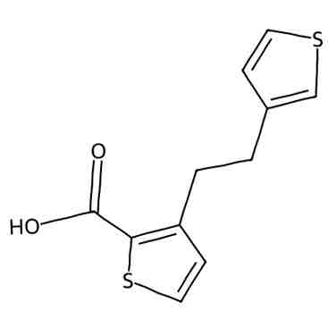 O=C(O)c1sccc1CCc1ccsc1